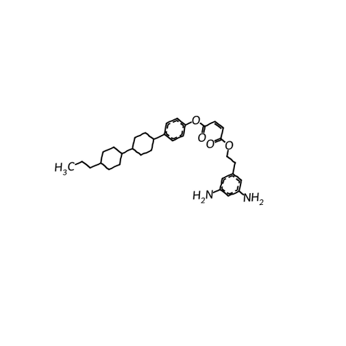 CCCC1CCC(C2CCC(c3ccc(OC(=O)/C=C\C(=O)OCCc4cc(N)cc(N)c4)cc3)CC2)CC1